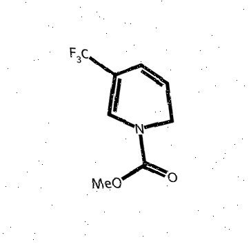 COC(=O)N1C=C(C(F)(F)F)C=CC1